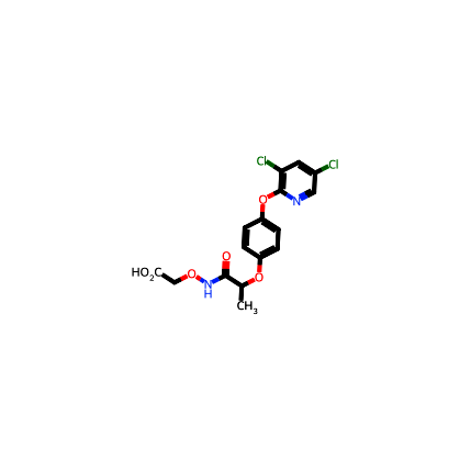 CC(Oc1ccc(Oc2ncc(Cl)cc2Cl)cc1)C(=O)NOCC(=O)O